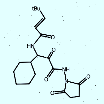 CC(C)(C)C=CC(=O)NC(C(=O)C(=O)NN1C(=O)CCC1=O)C1CCCCC1